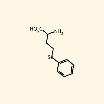 N[C@@H](CC[Se]c1ccccc1)C(=O)O